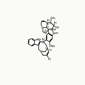 CCC1=C[C@H]2CN(C1)Cc1c([nH]c3ccccc13)[C@@](C(C)=O)(c1cc3c(cc1OC)N(C)[C@H]1C(O)(C(C)=O)[C@H](OC(C)=O)[C@]4(CC)C=CCN5CCC31[C@@H]54)C2